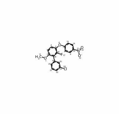 COc1ccc(Oc2ccc([N+](=O)[O-])cc2)c(F)c1-c1cccc(Cl)c1